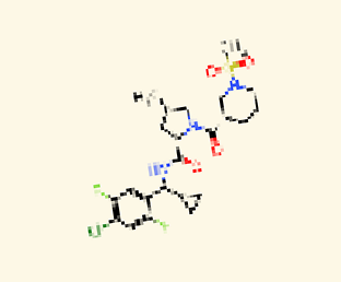 C[C@@H]1C[C@H](C(=O)N[C@@H](c2cc(F)c(Cl)cc2F)C2CC2)N(C(=O)[C@H]2CCCN(S(C)(=O)=O)C2)C1